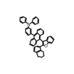 c1ccc(N(c2ccccc2)c2cccc(-c3c4ccccc4c(-c4c(-c5cccc6c5CCCC6)oc5ccccc45)c4ccccc34)c2)cc1